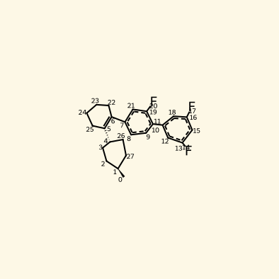 C[C@H]1CC[C@H](C2=C(c3ccc(-c4cc(F)cc(F)c4)c(F)c3)CCCC2)CC1